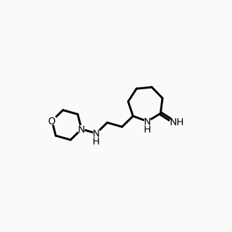 N=C1CCCCC(CCNN2CCOCC2)N1